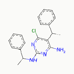 CC(Nc1nc(N)c(C(C)c2ccccc2)c(Cl)n1)c1ccccc1